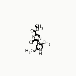 CC[C@H]1CN(c2ncc(C(=O)OC)nc2Cl)[C@H](C)CN1